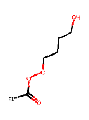 CCC(=O)OOCCCCO